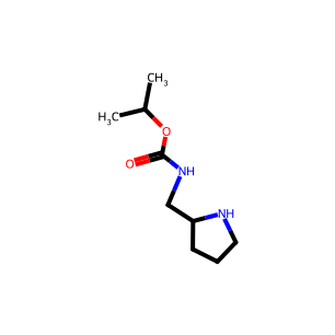 CC(C)OC(=O)NCC1CCCN1